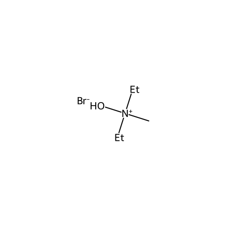 CC[N+](C)(O)CC.[Br-]